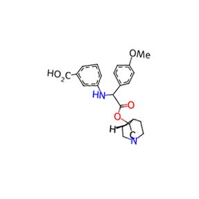 COc1ccc(C(Nc2cccc(C(=O)O)c2)C(=O)O[C@H]2CN3CCC2CC3)cc1